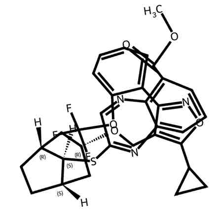 COC(=O)c1cccc2nc(S[C@@H]3[C@@H]4CC[C@H]3C[C@@H](OCc3c(-c5ccccc5OC(F)(F)F)noc3C3CC3)C4)cnc12